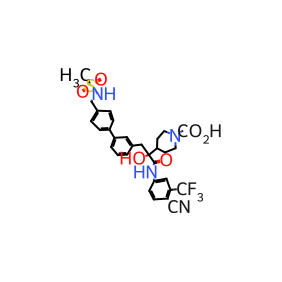 CS(=O)(=O)NCc1ccc(-c2cccc(CC(O)(C(=O)Nc3ccc(C#N)c(C(F)(F)F)c3)C3CCN(C(=O)O)CC3)c2)cc1